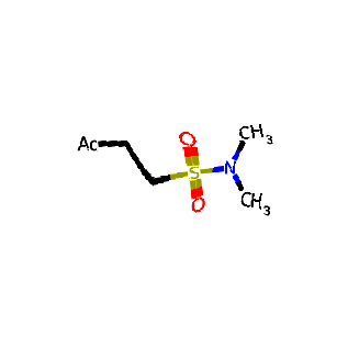 CC(=O)CCS(=O)(=O)N(C)C